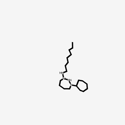 CCCCCCCCN[N+]1CCCCN(C2CCCCCC2)N1